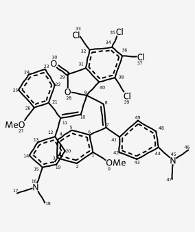 COc1ccccc1C(=CC1(C=C(c2ccc(N(C)C)cc2)c2ccccc2OC)OC(=O)c2c(Cl)c(Cl)c(Cl)c(Cl)c21)c1ccc(N(C)C)cc1